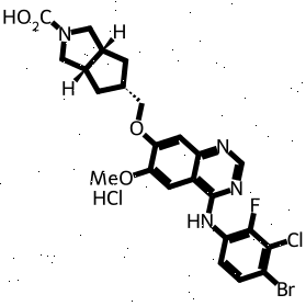 COc1cc2c(Nc3ccc(Br)c(Cl)c3F)ncnc2cc1OC[C@@H]1C[C@@H]2CN(C(=O)O)C[C@@H]2C1.Cl